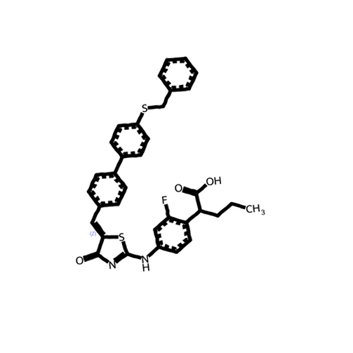 CCCC(C(=O)O)c1ccc(NC2=NC(=O)/C(=C/c3ccc(-c4ccc(SCc5ccccc5)cc4)cc3)S2)cc1F